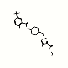 CCOC(=O)c1nn(CC2CCC(NC(=O)c3cc(C(F)(F)F)ccc3Cl)CC2)cc1C